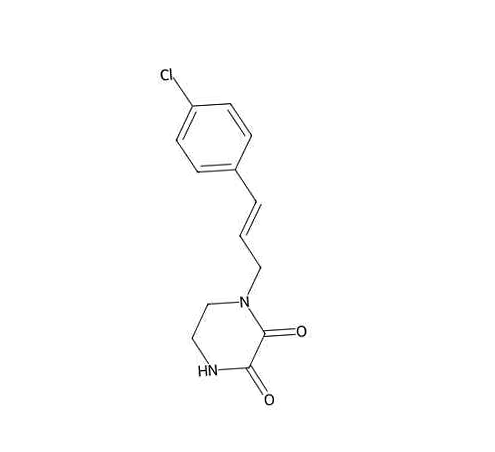 O=C1NCCN(CC=Cc2ccc(Cl)cc2)C1=O